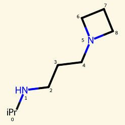 CC(C)NCCCN1CCC1